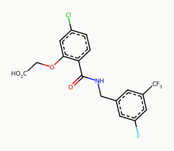 O=C(O)COc1cc(Cl)ccc1C(=O)NCc1cc(F)cc(C(F)(F)F)c1